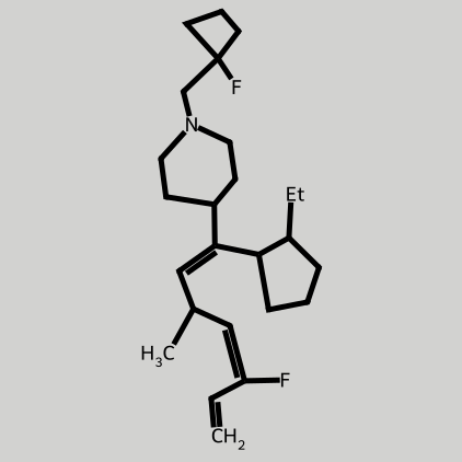 C=C/C(F)=C\C(C)/C=C(/C1CCN(CC2(F)CCC2)CC1)C1CCCC1CC